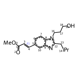 COC(=O)/C=C/c1ccc2c(c1)nc(CC(C)C)n2CCCO